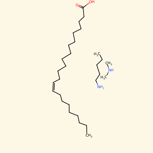 CCCCCCCC/C=C\CCCCCCCCCCCC(=O)O.CCCCCN.CNC